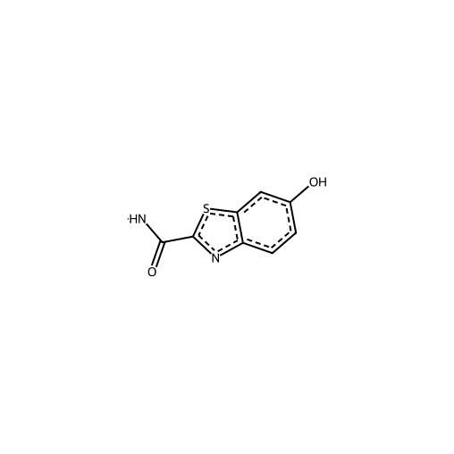 [NH]C(=O)c1nc2ccc(O)cc2s1